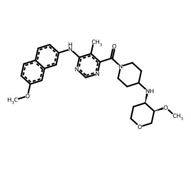 COc1ccc2ccc(Nc3ncnc(C(=O)N4CCC(N[C@@H]5CCOC[C@@H]5OC)CC4)c3C)cc2c1